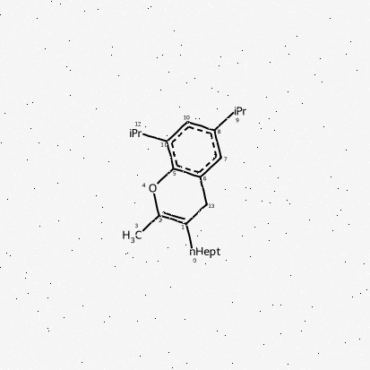 CCCCCCCC1=C(C)Oc2c(cc(C(C)C)cc2C(C)C)C1